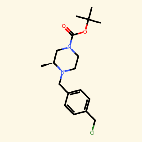 C[C@H]1CN(C(=O)OC(C)(C)C)CCN1Cc1ccc(CCl)cc1